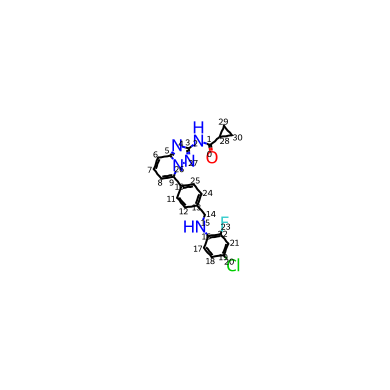 O=C(Nc1nc2cccc(-c3ccc(CNc4ccc(Cl)cc4F)cc3)n2n1)C1CC1